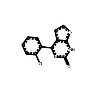 O=c1nc(-c2ccccc2Cl)c2ccsc2[nH]1